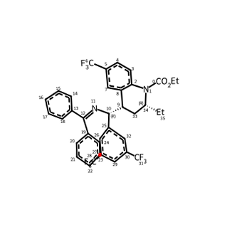 CCOC(=O)N1c2ccc(C(F)(F)F)cc2C([C@@H](N=C(c2ccccc2)c2ccccc2)c2cc(C(F)(F)F)cc(C(F)(F)F)c2)C[C@H]1CC